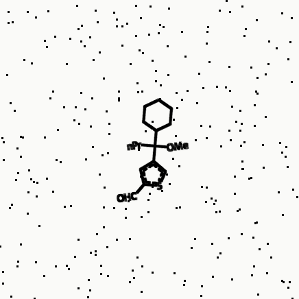 CCCC(OC)(c1csc(C=O)c1)C1CCCCC1